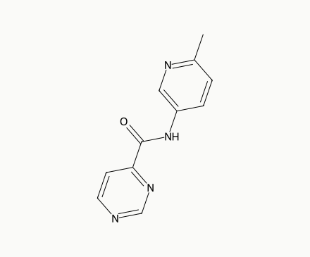 Cc1ccc(NC(=O)c2ccncn2)cn1